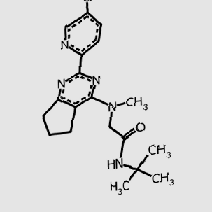 CN(CC(=O)NC(C)(C)C)c1nc(-c2ccc(Cl)cn2)nc2c1CCC2